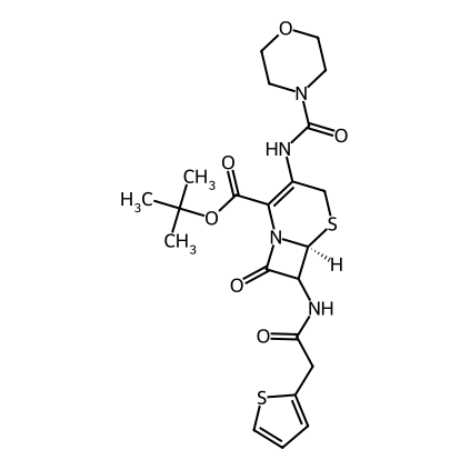 CC(C)(C)OC(=O)C1=C(NC(=O)N2CCOCC2)CS[C@H]2C(NC(=O)Cc3cccs3)C(=O)N12